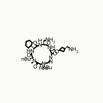 CCCC[C@H]1C(=O)N(C)[C@@H](CCCC)C(=O)N[C@@H](C2CCCCC2)C(=O)N[C@@H](CN)C(=O)N[C@@H](CO[C@H]2C[C@H](CN)C2)C(=O)N[C@H](C)CN1CCCC